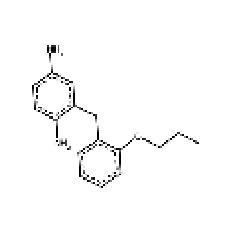 CCCOc1ccccc1Cc1cc(N)ccc1N